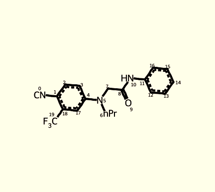 [C-]#[N+]c1ccc(N(CCC)CC(=O)Nc2ccccc2)cc1C(F)(F)F